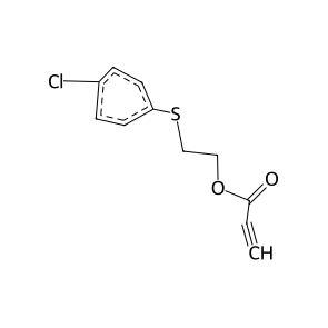 C#CC(=O)OCCSc1ccc(Cl)cc1